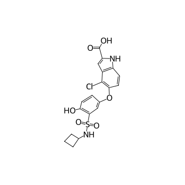 O=C(O)c1cc2c(Cl)c(Oc3ccc(O)c(S(=O)(=O)NC4CCC4)c3)ccc2[nH]1